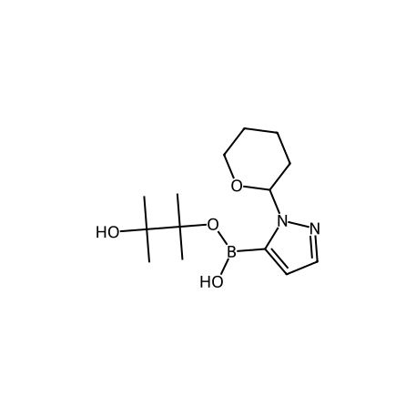 CC(C)(O)C(C)(C)OB(O)c1ccnn1C1CCCCO1